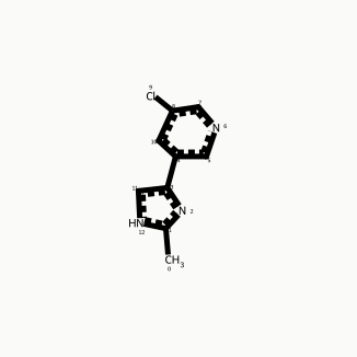 Cc1nc(-c2cncc(Cl)c2)c[nH]1